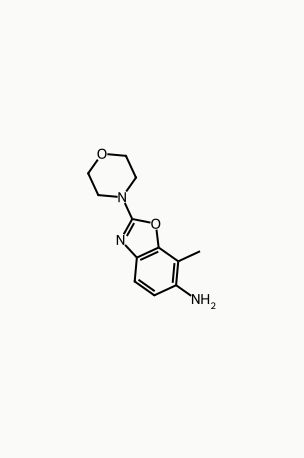 Cc1c(N)ccc2nc(N3CCOCC3)oc12